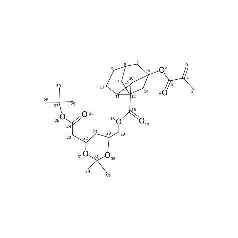 C=C(C)C(=O)OC12CC3CCC(C(C3)C1)C(C(=O)OCC1CC(CC(=O)OC(C)(C)C)OC(C)(C)O1)C2